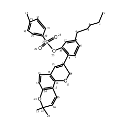 CCCCCc1ccc(C2=Cc3ccc4c(c3OC2)C=CC(C)(C)O4)c(OS(=O)(=O)c2ccc(C)cc2)c1